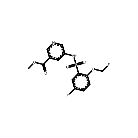 COC(=O)c1cncc(NS(=O)(=O)c2cc(Br)ccc2OCF)c1